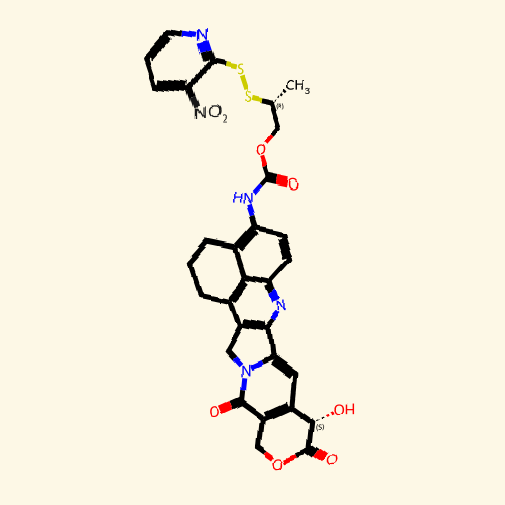 C[C@H](COC(=O)Nc1ccc2nc3c(c4c2c1CCC4)Cn1c-3cc2c(c1=O)COC(=O)[C@H]2O)SSc1ncccc1[N+](=O)[O-]